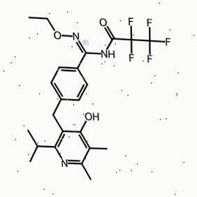 CCO/N=C(/NC(=O)C(F)(F)C(F)(F)F)c1ccc(Cc2c(C(C)C)nc(C)c(C)c2O)cc1